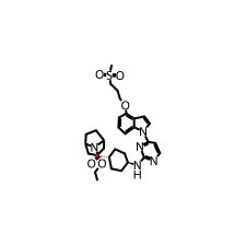 CCOC1CC2CCC(C1)N2C(=O)[C@H]1CC[C@H](Nc2nccc(-n3ccc4c(OCCCS(C)(=O)=O)cccc43)n2)CC1